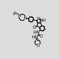 CC(C)N1CCCN(c2ccc(-c3n[nH]c4c3C(=O)c3c(NC(=O)NN5CCOCC5)cccc3-4)cc2)CC1